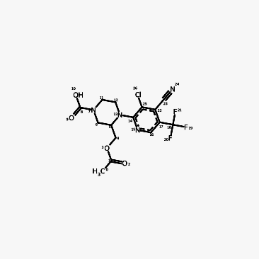 CC(=O)OCC1CN(C(=O)O)CCN1c1ncc(C(F)(F)F)c(C#N)c1Cl